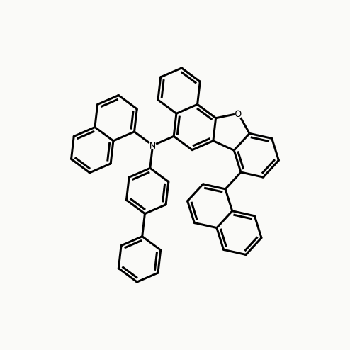 c1ccc(-c2ccc(N(c3cccc4ccccc34)c3cc4c(oc5cccc(-c6cccc7ccccc67)c54)c4ccccc34)cc2)cc1